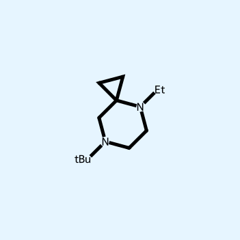 CCN1CCN(C(C)(C)C)CC12CC2